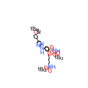 CC(C)(C)OC(=O)NCCCCCOc1cc(Nc2ncc(C3CCC(O[Si](C)(C)C(C)(C)C)C3)cn2)ccc1S(=O)(=O)NC(=O)OC(C)(C)C